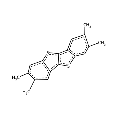 Cc1cc2sc3c4cc(C)c(C)cc4sc3c2cc1C